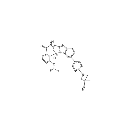 CC1(C#N)CN(c2ncc(-c3ccc4nc5n(c4c3)[C@@H]3C[C@H]5NC(=O)c4cccc(OC(F)F)c43)cn2)C1